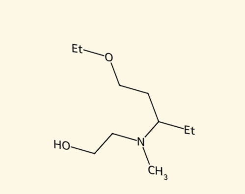 CCOCCC(CC)N(C)CCO